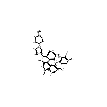 CC(C)(C)N1CCC(n2cc([C@@H](Nc3cc(Cl)c4ncc(C#N)c(Nc5ccc(F)c(F)c5)c4c3)c3ccc(Cl)cc3)nn2)CC1